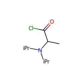 CC(C)N(C(C)C)C(C)C(=O)Cl